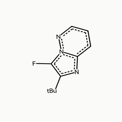 CC(C)(C)c1nc2cccnn2c1F